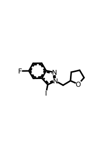 Fc1ccc2nn(CC3CCCO3)c(I)c2c1